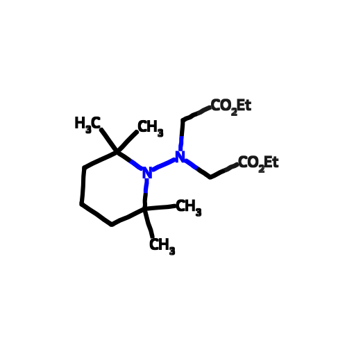 CCOC(=O)CN(CC(=O)OCC)N1C(C)(C)CCCC1(C)C